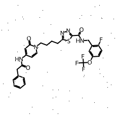 O=C(Cc1ccccc1)Nc1ccn(CCCCc2nnc(C(=O)NCc3cc(OC(F)(F)F)ccc3F)s2)c(=O)c1